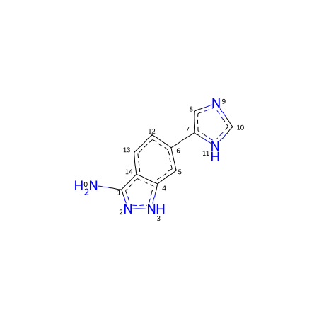 Nc1n[nH]c2cc(-c3cnc[nH]3)ccc12